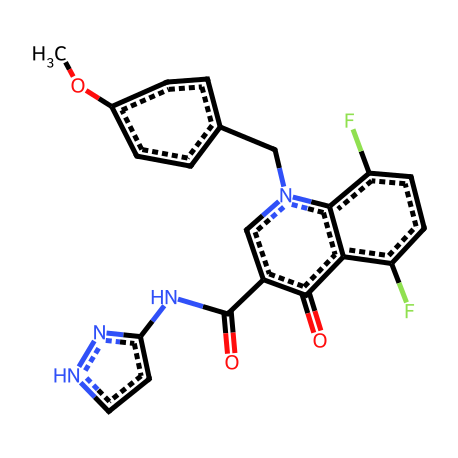 COc1ccc(Cn2cc(C(=O)Nc3cc[nH]n3)c(=O)c3c(F)ccc(F)c32)cc1